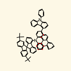 CC(C)(C)c1ccc2c(c1)C1(c3cc(C(C)(C)C)ccc3-2)c2ccccc2-c2c(N(c3ccc(-c4cccc5c4c4ccccc4n5-c4ccccc4)cc3)c3ccccc3-c3ccccc3-c3ccccc3-c3ccccc3)cccc21